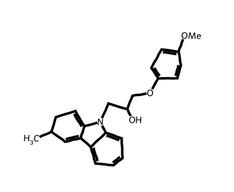 COc1ccc(OCC(O)Cn2c3c(c4ccccc42)=CC(C)CC=3)cc1